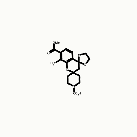 COC(=O)c1ccc2c(c1C)OC1(CCN(C(=O)O)CC1)CC21OCCO1